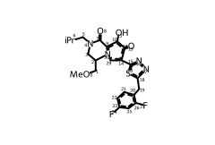 COCC1CN(CC(C)C)C(=O)c2c(O)c(=O)c(-c3nnc(Cc4ccc(F)cc4F)s3)cn21